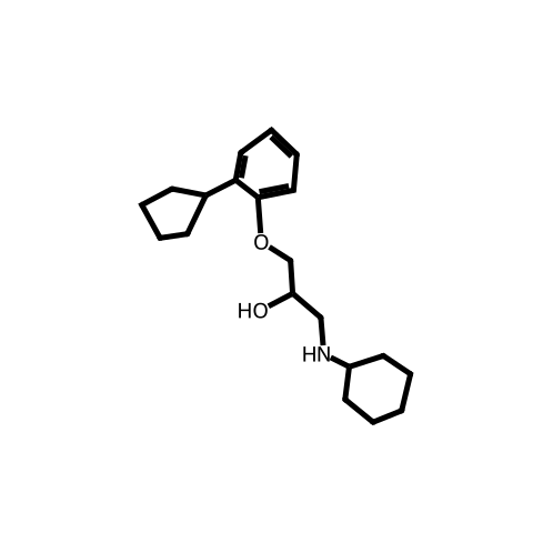 OC(CNC1CCCCC1)COc1ccccc1C1CCCC1